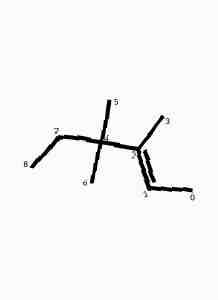 C/C=C(\C)C(C)(C)CC